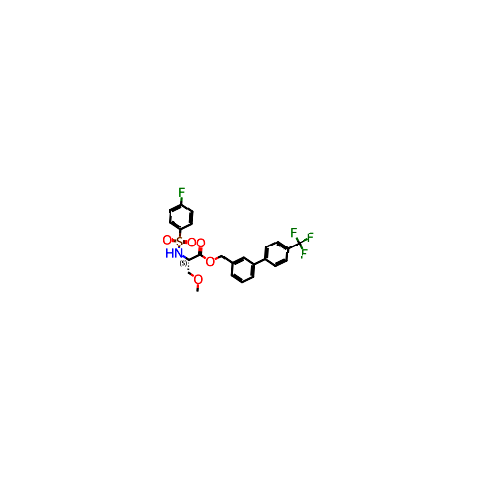 COC[C@H](NS(=O)(=O)c1ccc(F)cc1)C(=O)OCc1cccc(-c2ccc(C(F)(F)F)cc2)c1